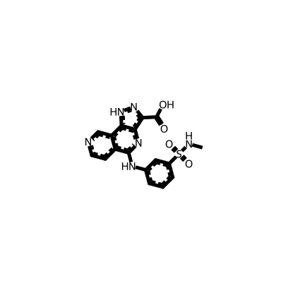 CNS(=O)(=O)c1cccc(Nc2nc3c(C(=O)O)n[nH]c3c3cnccc23)c1